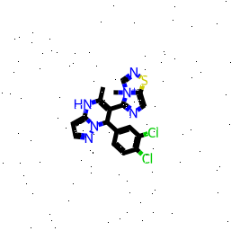 CC1=C(C2=NC=C3SN=C[N+]32C)C(c2ccc(Cl)c(Cl)c2)n2nccc2N1